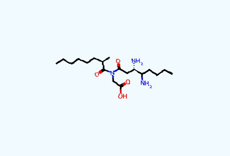 CCCCCCC(C)C(=O)N(CC(=O)O)C(=O)C[C@H](N)C(N)CCCC